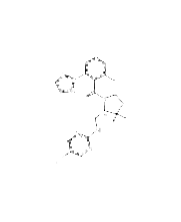 O=C(c1c(F)cccc1-n1nccn1)N1CCC(F)(F)[C@H]1CNc1ncc(C(F)(F)F)cn1